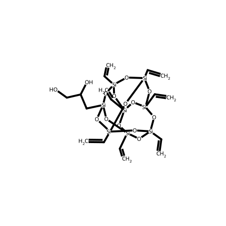 C=C[Si]12O[Si]3(C=C)O[Si]4(C=C)O[Si](C=C)(O1)O[Si]1(C=C)O[Si](C=C)(O2)O[Si](C=C)(O3)O[Si](CC(O)CO)(O4)O1